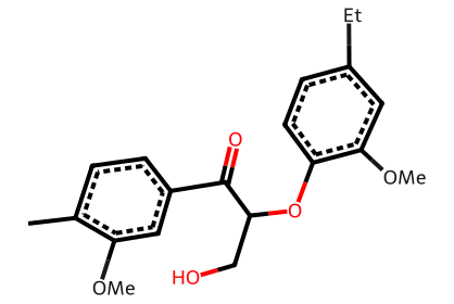 CCc1ccc(OC(CO)C(=O)c2ccc(C)c(OC)c2)c(OC)c1